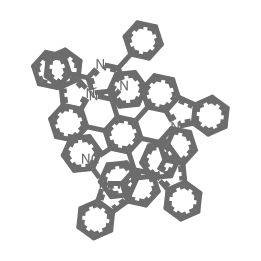 N#Cc1c(-c2cccc3c4ccccc4n(-c4ccccc4)c23)c(-c2nc(-c3ccccc3)nc(-c3ccccc3)n2)c(-c2cccc3c4ccccc4n(-c4ccccc4)c23)c(-c2cccc3c4ccccc4n(-c4ccccc4)c23)c1-c1cccc2c3ccccc3n(-c3ccccc3)c12